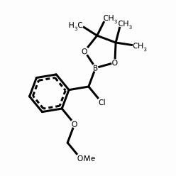 COCOc1ccccc1C(Cl)B1OC(C)(C)C(C)(C)O1